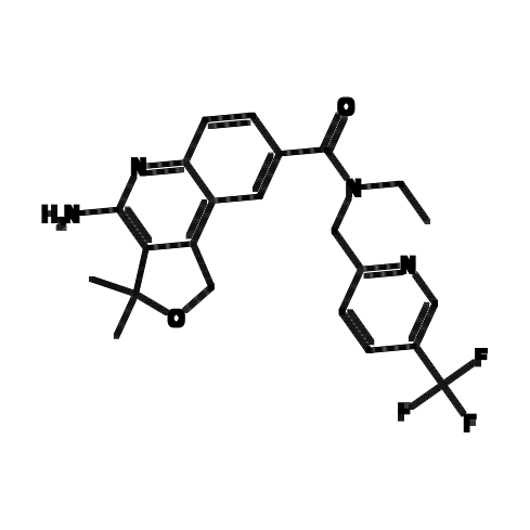 CCN(Cc1ccc(C(F)(F)F)cn1)C(=O)c1ccc2nc(N)c3c(c2c1)COC3(C)C